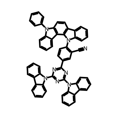 N#Cc1cc(-c2nc(-n3c4ccccc4c4ccccc43)nc(-n3c4ccccc4c4ccccc43)n2)ccc1-n1c2ccccc2c2ccc3c(c4ccccc4n3-c3ccccc3)c21